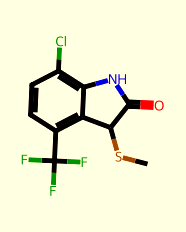 CSC1C(=O)Nc2c(Cl)ccc(C(F)(F)F)c21